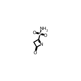 NS(=O)(=O)C1=NC(=O)C1